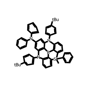 CC(C)(C)c1ccc(N2c3cc(N(c4ccccc4)c4ccccc4)cc4c3B3c5c2cccc5[Si](C)(c2ccccc2)c2cccc(c23)N4c2ccc(C(C)(C)C)cc2)cc1